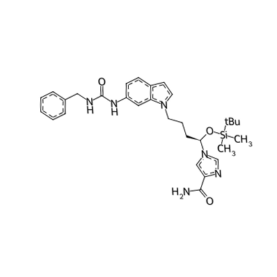 CC(C)(C)[Si](C)(C)O[C@H](CCCn1ccc2ccc(NC(=O)NCc3ccccc3)cc21)n1cnc(C(N)=O)c1